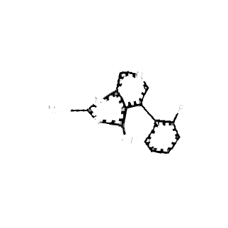 COc1nc(O)c2c(-c3ccccc3F)cncc2n1